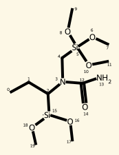 CCC(N(C[Si](OC)(OC)OC)C(N)=O)[Si](OC)OC